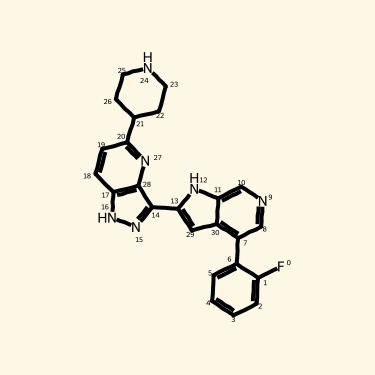 Fc1ccccc1-c1cncc2[nH]c(-c3n[nH]c4ccc(C5CCNCC5)nc34)cc12